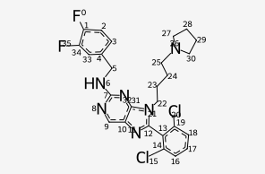 Fc1ccc(CNc2ncc3nc(-c4c(Cl)cccc4Cl)n(CCCCN4CCCC4)c3n2)cc1F